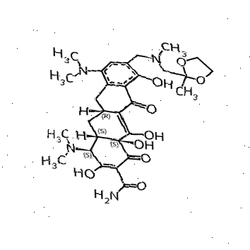 CN(Cc1cc(N(C)C)c2c(c1O)C(=O)C1=C(O)[C@]3(O)C(=O)C(C(N)=O)=C(O)[C@@H](N(C)C)[C@@H]3C[C@@H]1C2)CC1(C)OCCO1